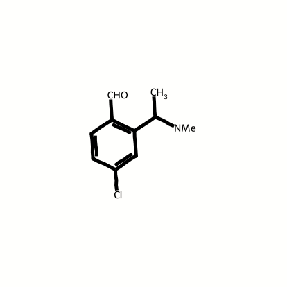 CNC(C)c1cc(Cl)ccc1C=O